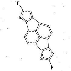 Fc1cc2c(s1)-c1ccc3c4c(ccc-2c14)-c1cc(F)sc1-3